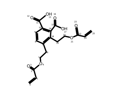 C=CC(=O)OCCc1ccc(C(=O)O)c(C(=O)O)c1CCOC(=O)C=C